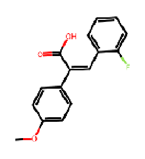 COc1ccc(C(=Cc2ccccc2F)C(=O)O)cc1